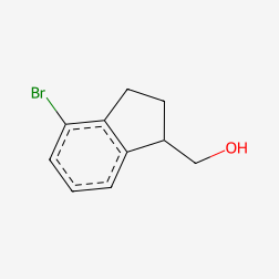 OCC1CCc2c(Br)cccc21